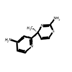 C[C@@]1(c2cc(N)ccn2)C=CSC(N)=N1